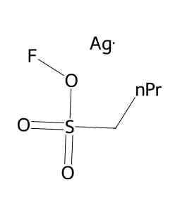 CCCCS(=O)(=O)OF.[Ag]